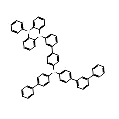 c1ccc(-c2ccc(N(c3ccc(-c4cccc(-c5ccccc5)c4)cc3)c3ccc(-c4cccc(N5c6ccccc6N(c6ccccc6)c6ccccc65)c4)cc3)cc2)cc1